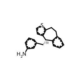 Nc1cccc(C[C@H]2c3ccccc3CCc3sccc32)c1